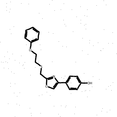 Oc1ccc(-c2coc(CSCCOc3ccccc3)n2)cc1